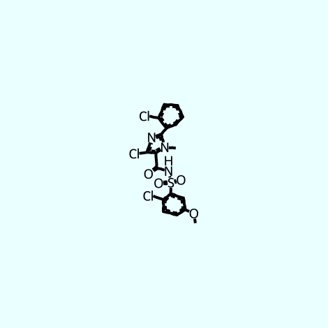 COc1ccc(Cl)c(S(=O)(=O)NC(=O)c2c(Cl)nc(-c3ccccc3Cl)n2C)c1